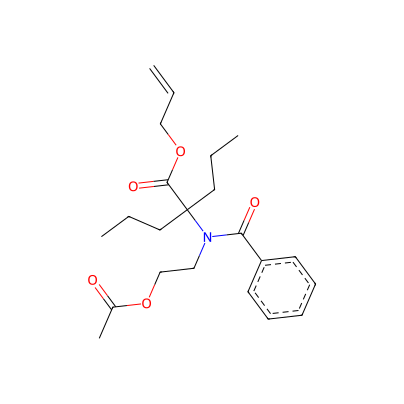 C=CCOC(=O)C(CCC)(CCC)N(CCOC(C)=O)C(=O)c1ccccc1